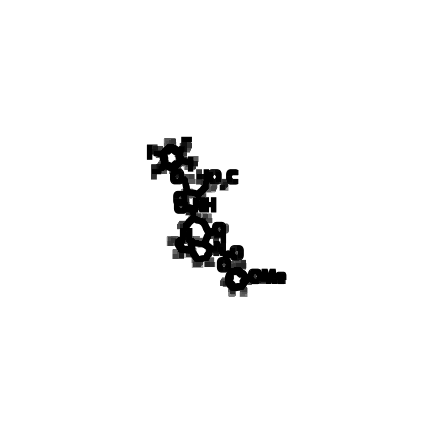 COc1cccc(OC(=O)NC2CCc3ccn4c3C2C(=O)CC(C(=O)NC(CC(=O)O)C(=O)COc2c(F)c(F)cc(F)c2F)C4)c1